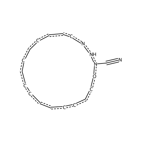 N#Cn1[nH]nccccccccccccccco1